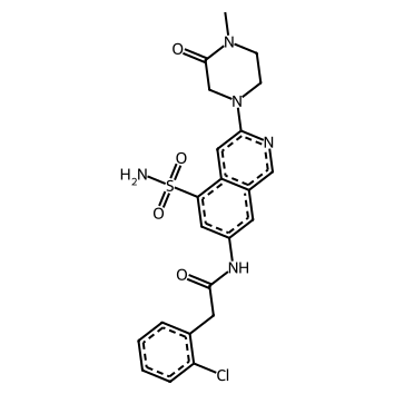 CN1CCN(c2cc3c(S(N)(=O)=O)cc(NC(=O)Cc4ccccc4Cl)cc3cn2)CC1=O